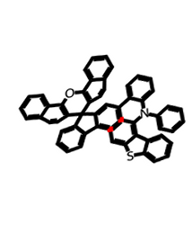 c1ccc(N(c2ccccc2-c2ccc3c(c2)C2(c4ccccc4-3)c3ccc4ccccc4c3Oc3c2ccc2ccccc32)c2cccc3sc4ccccc4c23)cc1